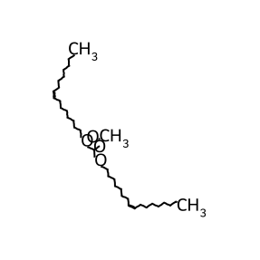 CCCCCCCC/C=C\CCCCCCCCOCC(COCCCCCCCC/C=C\CCCCCCCC)OC(C)=O